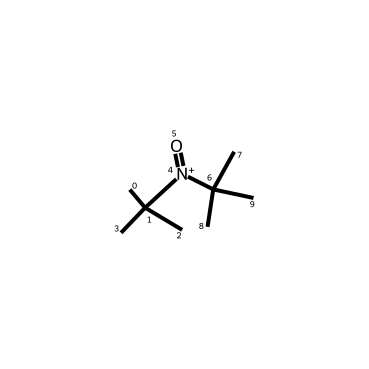 CC(C)(C)[N+](=O)C(C)(C)C